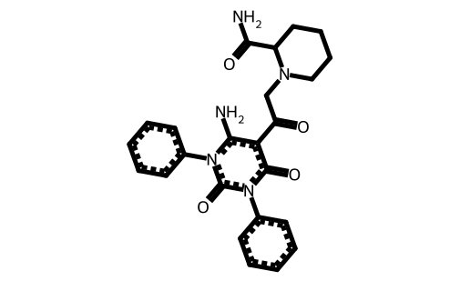 NC(=O)C1CCCCN1CC(=O)c1c(N)n(-c2ccccc2)c(=O)n(-c2ccccc2)c1=O